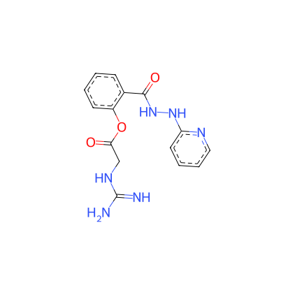 N=C(N)NCC(=O)Oc1ccccc1C(=O)NNc1ccccn1